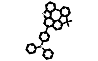 CC1(C)c2cccc3c2-c2c1ccc1c(-c4ccc(N(c5ccccc5)c5ccccc5)cc4)cc4sc5cccc-3c5c4c21